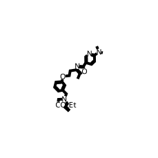 C=CCN(CC(=O)OCC)Cc1cccc(OCCc2nc(-c3ccc(N(C)C)nc3)oc2C)c1